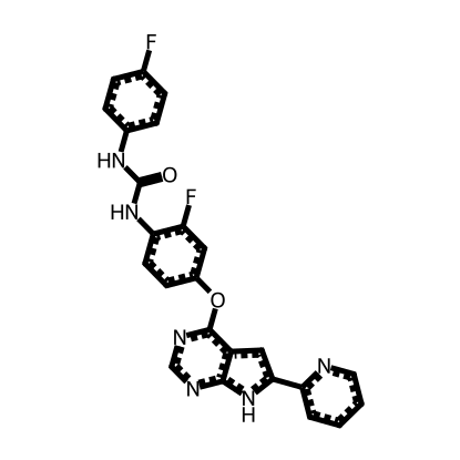 O=C(Nc1ccc(F)cc1)Nc1ccc(Oc2ncnc3[nH]c(-c4ccccn4)cc23)cc1F